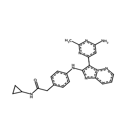 Cc1nc(N)cc(-c2c(Nc3ccc(CC(=O)NC4CC4)cc3)nc3cccnn23)n1